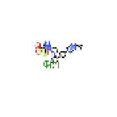 Cl.O=C(O)c1cnn(C2CCCN(c3cc(Cl)ccc3-c3ccc(N4CCN(CC5CC5)CC4)cc3)C2)c1C(F)(F)F